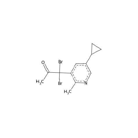 CC(=O)C(Br)(Br)c1cc(C2CC2)cnc1C